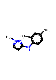 Cn1ccc(Nc2ccc([N+](=O)[O-])cc2[N+](=O)[O-])n1